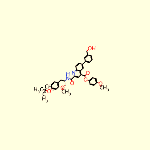 COC[C@H](Cc1ccc(OC(C)(C)C)cc1)NC(=O)c1cc(C(=O)Oc2ccc(OC)cc2)c2cc(-c3cccc(CO)c3)ccc2n1